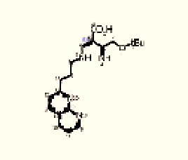 CC(C)(C)OCC(=N)/C(=C\NCCCc1ccc2cccnc2n1)C(=O)O